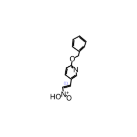 O=[N+](O)/C=C/c1ccc(OCc2ccccc2)nc1